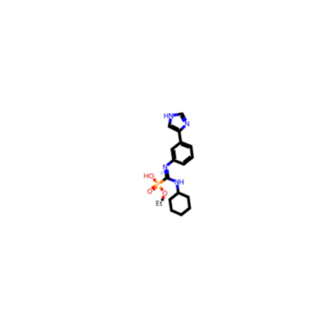 CCOP(=O)(O)/C(=N/c1cccc(-c2c[nH]cn2)c1)NC1CCCCC1